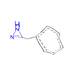 c1ccc(C2=NN2)cc1